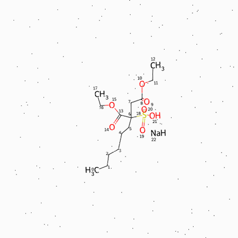 CCCCCCC(CC(=O)OCC)(C(=O)OCC)S(=O)(=O)O.[NaH]